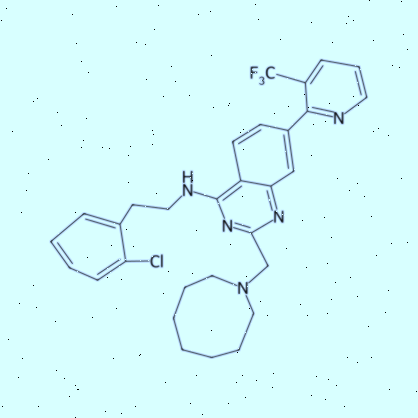 FC(F)(F)c1cccnc1-c1ccc2c(NCCc3ccccc3Cl)nc(CN3CCCCCCC3)nc2c1